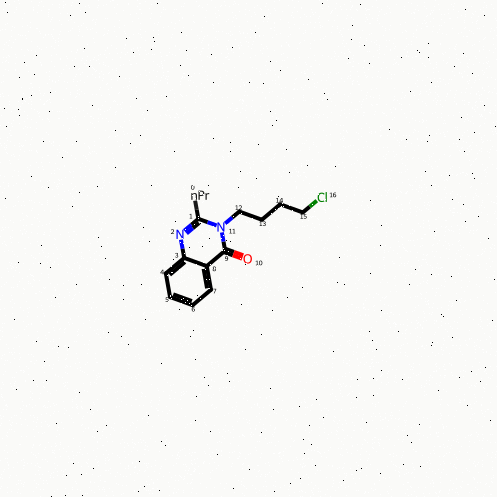 CCCc1nc2ccccc2c(=O)n1CCCCCl